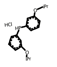 CC(C)Oc1cccc(Pc2cccc(OC(C)C)c2)c1.Cl